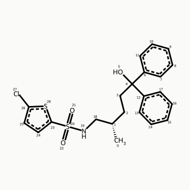 C[C@@H](CCC(O)(c1ccccc1)c1ccccc1)CNS(=O)(=O)c1ccc(Cl)s1